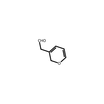 O=CCC1=CC=COC1